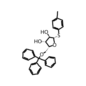 Cc1ccc(S[C@@H]2O[C@H](COC(c3ccccc3)(c3ccccc3)c3ccccc3)[C@H](O)[C@H]2O)cc1